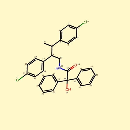 CC(c1ccc(Cl)cc1)C(CNC(=O)C(O)(c1ccccc1)c1ccccc1)c1ccc(Cl)cc1